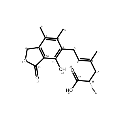 C/C(=C\Cc1c(C)c(C)c2c(c1O)C(=O)OC2)C[C@H](C)C(=O)O